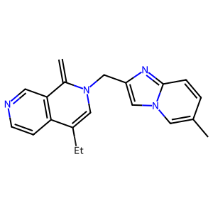 C=C1c2cnccc2C(CC)=CN1Cc1cn2cc(C)ccc2n1